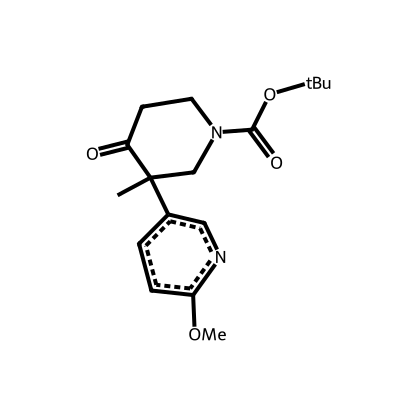 COc1ccc(C2(C)CN(C(=O)OC(C)(C)C)CCC2=O)cn1